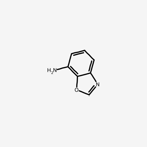 Nc1cccc2n[c]oc12